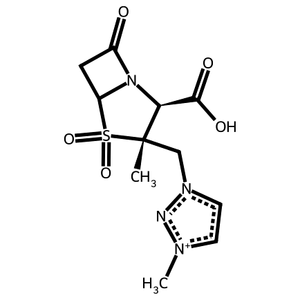 C[n+]1ccn(C[C@@]2(C)[C@H](C(=O)O)N3C(=O)CC3S2(=O)=O)n1